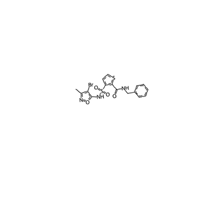 Cc1noc(NS(=O)(=O)c2ccsc2C(=O)NCc2ccccc2)c1Br